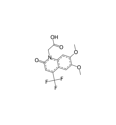 COc1cc2c(C(F)(F)F)cc(=O)n(CC(=O)O)c2cc1OC